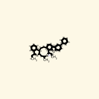 C=CC1=NC2CC(=C)/N=C(/C=C)c3c(ccc4c3oc3ccc(-c5ccccc5)cc34)CCC2c2ccccc21